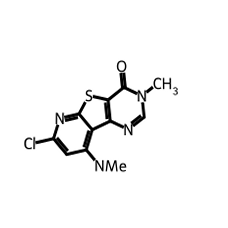 CNc1cc(Cl)nc2sc3c(=O)n(C)cnc3c12